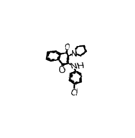 O=C1C(Nc2ccc(Cl)cc2)=C(N2CCCC2)C(=O)c2ccccc21